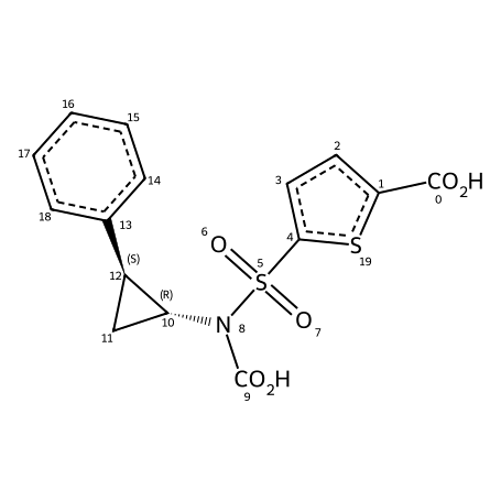 O=C(O)c1ccc(S(=O)(=O)N(C(=O)O)[C@@H]2C[C@H]2c2ccccc2)s1